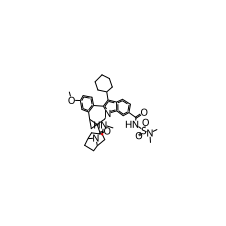 CNC1CC2CCC(C1)N2C(=O)C12CC1c1cc(OC)ccc1-c1c(C3CCCCC3)c3ccc(C(=O)NS(=O)(=O)N(C)C)cc3n1C2